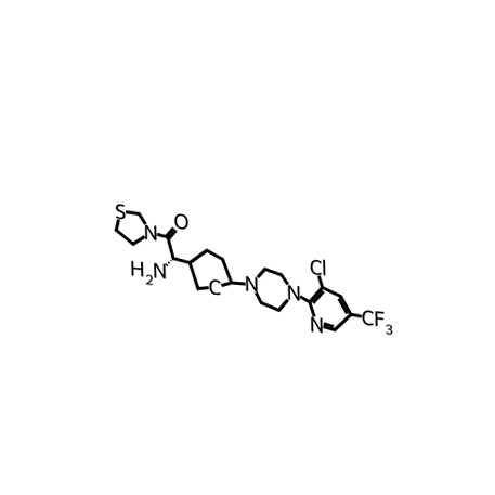 N[C@H](C(=O)N1CCSC1)C1CCC(N2CCN(c3ncc(C(F)(F)F)cc3Cl)CC2)CC1